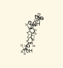 CCC(CC)(c1ccc(OC[C@@H](O)C(C)(C)C)c(C)c1)c1ccc(C(=O)NCCS(C)(=O)=O)c(C)c1